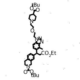 CCOC(=O)CC(c1ccc2c(c1)CN(C(=O)OC(C)(C)C)CC2)c1ccc2c(nnn2CCOCCN2CCC(C(=O)OC(C)(C)C)CC2)c1C